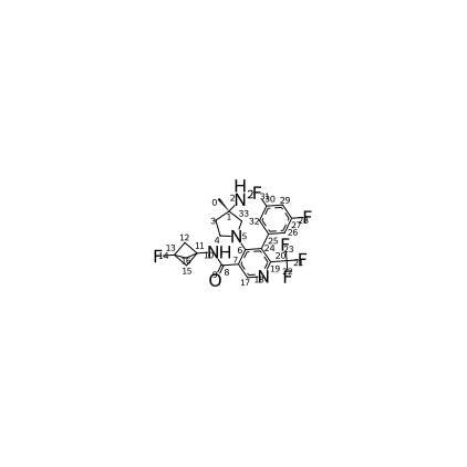 C[C@]1(N)CCN(c2c(C(=O)NC34CC(F)(C3)C4)cnc(C(F)(F)F)c2-c2cc(F)cc(F)c2)C1